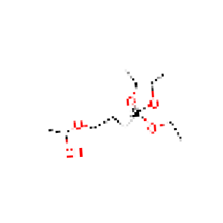 [CH2]C(O)OCCC[Si](OCC)(OCC)OCC